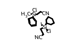 C[Si](Cl)(CCC#N)c1ccccc1.N#CCC[Si](Cl)(I)C1CCCCC1